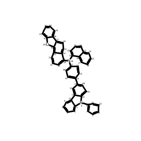 c1ccc(-n2c3ccccc3c3cc(-c4ccc(N(c5cccc6ccccc56)c5cccc6c5ccc5c7ccccc7oc65)cc4)ccc32)cc1